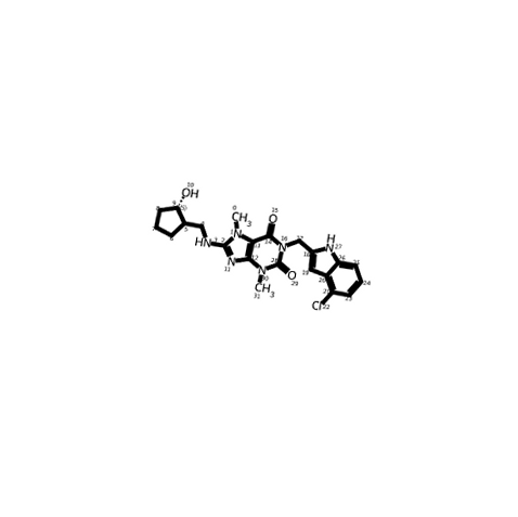 Cn1c(NCC2CCC[C@@H]2O)nc2c1c(=O)n(Cc1cc3c(Cl)cccc3[nH]1)c(=O)n2C